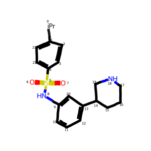 CC(C)c1ccc(S(=O)(=O)Nc2cccc(C3CCCNC3)c2)cc1